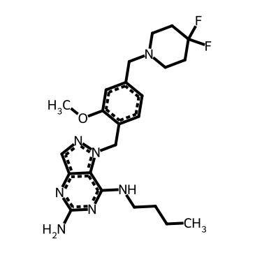 CCCCNc1nc(N)nc2cnn(Cc3ccc(CN4CCC(F)(F)CC4)cc3OC)c12